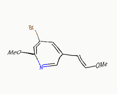 CO/C=C/c1cnc(OC)c(Br)c1